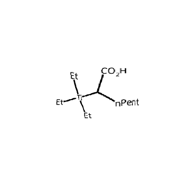 CCCCC[CH](C(=O)O)[Ti]([CH2]C)([CH2]C)[CH2]C